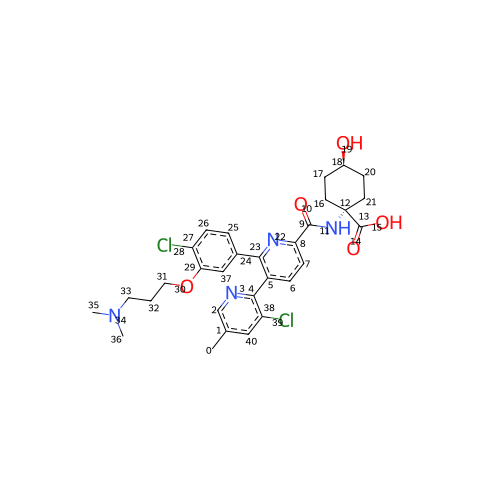 Cc1cnc(-c2ccc(C(=O)N[C@]3(C(=O)O)CC[C@@H](O)CC3)nc2-c2ccc(Cl)c(OCCCN(C)C)c2)c(Cl)c1